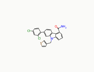 NC(=O)c1cccc2c1c1[c]cc(-c3ccc(Cl)cc3Cl)cc1n2Cc1ccsc1